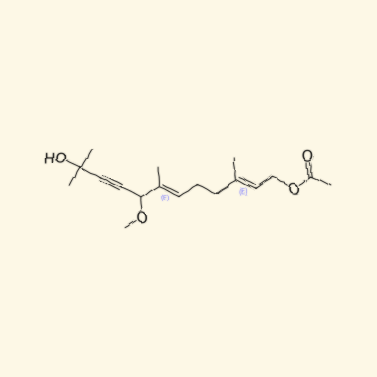 COC(C#CC(C)(C)O)/C(C)=C/CC/C(C)=C/COC(C)=O